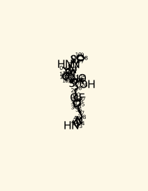 Cc1c(Nc2nc3ccccc3s2)nnc2c1CCCN2c1nc(C(=O)O)c(CCCOc2ccc(C#CCN3CCNCC3)cc2F)s1